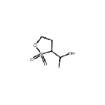 CC(O)C1CCOS1(=O)=O